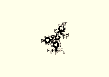 CCNCC1(C(=O)N2CC[C@](c3ccc(C(F)(C(F)(F)F)C(F)(F)F)cc3)(S(=O)(=O)c3ccc(F)cc3)C2)CC[S+]([O-])CC1